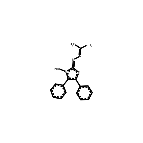 CCCCn1c(-c2ccccc2)c(-c2ccccc2)s/c1=N\N=C(C)C